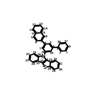 c1ccc(-c2cc(-c3ccc4ccccc4c3)cc(-n3c4ccccc4c4sc5ccccc5c43)c2)cc1